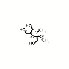 CC[C@@](CO)(OC)OC(CO)CO